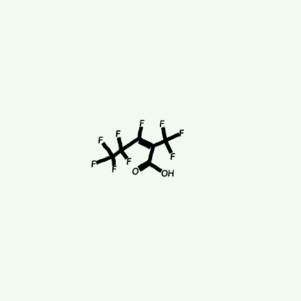 O=C(O)C(=C(F)C(F)(F)C(F)(F)F)C(F)(F)F